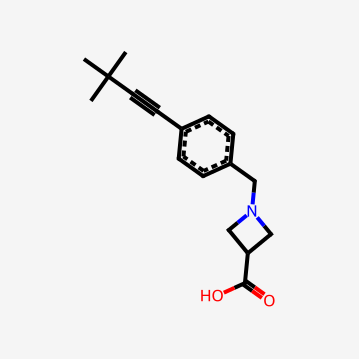 CC(C)(C)C#Cc1ccc(CN2CC(C(=O)O)C2)cc1